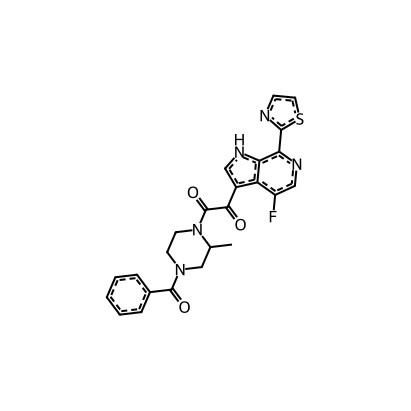 CC1CN(C(=O)c2ccccc2)CCN1C(=O)C(=O)c1c[nH]c2c(-c3nccs3)ncc(F)c12